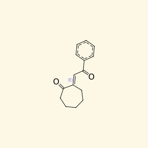 O=C1CCCCC/C1=C\C(=O)c1ccccc1